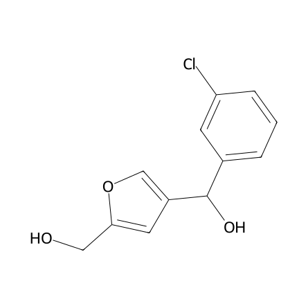 OCc1cc(C(O)c2cccc(Cl)c2)co1